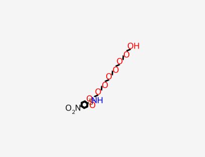 O=[N+]([O-])c1ccc(S(=O)(=O)NCCOCCOCCOCCOCCOCCOCCO)cc1